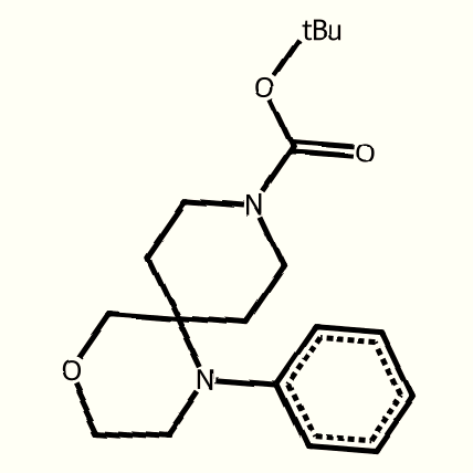 CC(C)(C)OC(=O)N1CCC2(CC1)COCCN2c1ccccc1